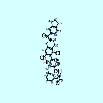 CS(=O)(=O)c1cccc(C[C@H](NC(=O)c2c(Cl)cc3c(c2Cl)CCN(C(=O)c2ccc4c(c2)CCC4)C3)C(=O)O)c1